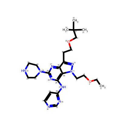 CCOCCn1nc(CCOCC(C)(C)C)c2nc(N3CCNCC3)nc(Nc3ccncn3)c21